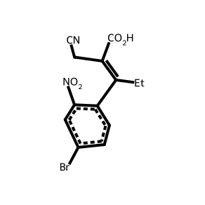 CCC(=C(CC#N)C(=O)O)c1ccc(Br)cc1[N+](=O)[O-]